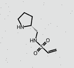 C=CS(=O)(=O)NC[C@H]1CCCN1